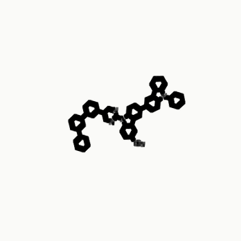 CC(C)(C)c1ccc2c(c1)c1cc(-c3ccc4c(c3)c3ccccc3n4-c3ccccc3)ccc1n2-c1ncc(-c2cccc(-c3cccc(-c4ccccc4)c3)c2)cn1